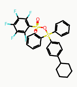 O=S(=O)(OS(c1ccccc1)(c1ccccc1)c1ccc(C2CCCCC2)cc1)c1c(F)c(F)c(F)c(F)c1F